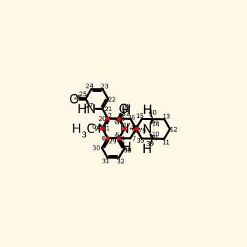 C[C@@H]1C[C@@H]2C[C@H](C1)C[C@@H](N1[C@@H]3CCC[C@H]1C[C@@H](n1c(=O)c(-c4cccc(=O)[nH]4)nc4ccccc41)C3)C2